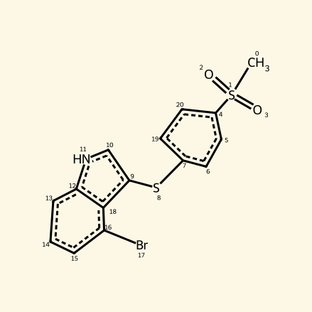 CS(=O)(=O)c1ccc(Sc2c[nH]c3cccc(Br)c23)cc1